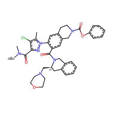 CCCCN(C)C(=O)c1nn(-c2cc3c(cc2C(=O)N2Cc4ccccc4C[C@H]2CN2CCOCC2)CN(C(=O)Oc2ccccc2)CC3)c(C)c1Cl